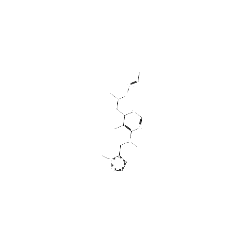 C/C=N/OC(C)CC1NC=NC(N(C)Cc2ccnn2C)=C1C